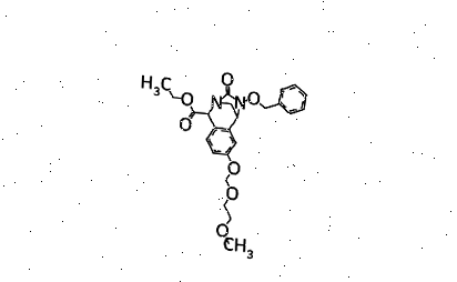 CCOC(=O)C1c2ccc(OCOCCOC)cc2C2CN1C(=O)N2OCc1ccccc1